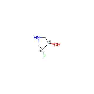 O[C@@H]1CNC[C@H]1F